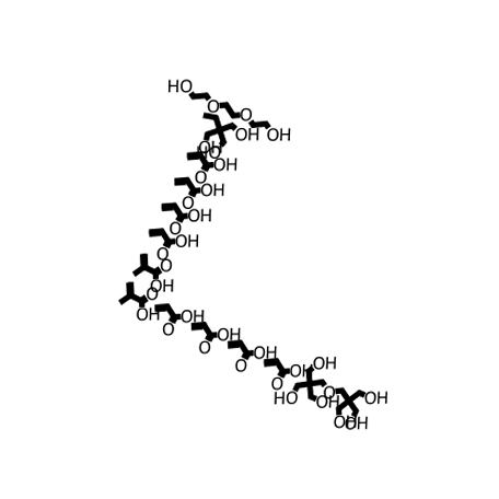 C=C(C)C(=O)O.C=C(C)C(=O)O.C=CC(=O)O.C=CC(=O)O.C=CC(=O)O.C=CC(=O)O.C=CC(=O)O.C=CC(=O)O.C=CC(=O)O.C=CC(=O)O.CCC(CO)(CO)CO.OCC(CO)(CO)COCC(CO)(CO)CO.OCCOCCOCCO